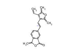 C=Cc1c(/C=C/c2ccc3c(c2)C(=O)OC3=C)c(=C)oc1=C